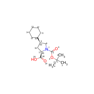 CC(C)(C)OC(=O)N1C[C@H](C2CCCCC2)C[C@@H]1C(=O)O